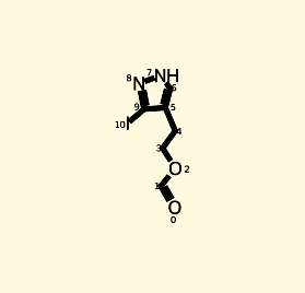 O=COCCc1c[nH]nc1I